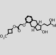 CCC[C@H](O)CC[C@@H]1[C@H]2Cc3cccc(OCC(=O)OC4CC(C(=O)O)C4)c3C[C@H]2C[C@H]1O